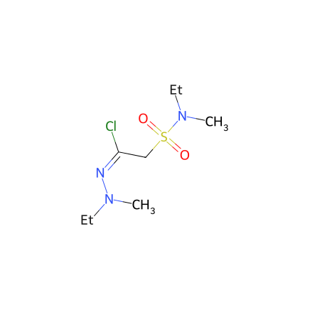 CCN(C)/N=C(/Cl)CS(=O)(=O)N(C)CC